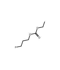 CCOC(=O)OCCCF